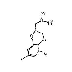 CCCN(CC)CC1COc2c(F)cc(F)cc2O1